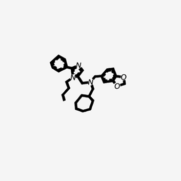 CCCCn1c(CN(Cc2ccc3c(c2)OCO3)CC2CCCCCC2)cnc1-c1ccccc1